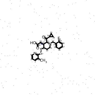 Cc1cccnc1SSC1CCN(Cc2ccccc2F)C(C(=O)C2CC2)/C1=C/C(=O)O